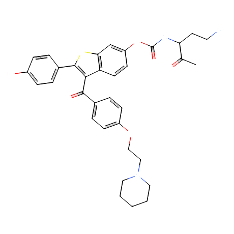 CC(=O)C(CCN)NC(=O)Oc1ccc2c(C(=O)c3ccc(OCCN4CCCCC4)cc3)c(-c3ccc(O)cc3)sc2c1